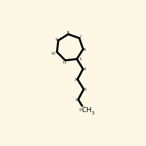 CCCC[CH]C1CCCCCC1